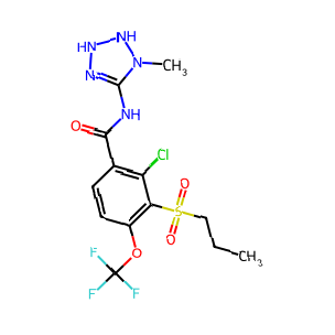 CCCS(=O)(=O)c1c(OC(F)(F)F)ccc(C(=O)NC2=NNNN2C)c1Cl